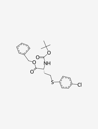 CC(C)(C)OC(=O)N[C@H](CCSc1ccc(Cl)cc1)C(=O)OCc1ccccc1